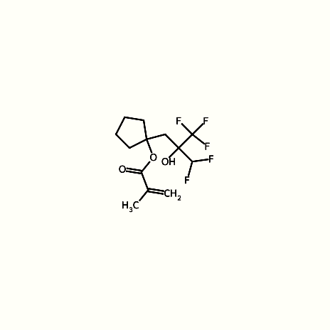 C=C(C)C(=O)OC1(CC(O)(C(F)F)C(F)(F)F)CCCC1